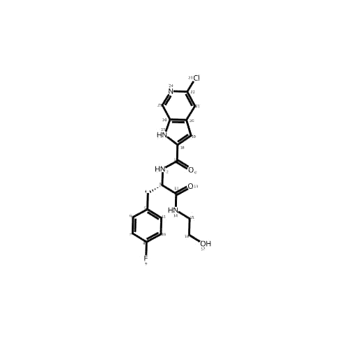 O=C(N[C@@H](Cc1ccc(F)cc1)C(=O)NCCO)c1cc2cc(Cl)ncc2[nH]1